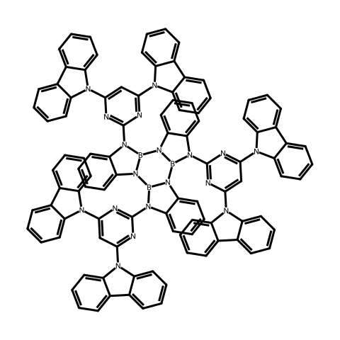 c1ccc2c(c1)N1B(N3B(N4B1N(c1nc(-n5c6ccccc6c6ccccc65)cc(-n5c6ccccc6c6ccccc65)n1)c1ccccc14)N(c1nc(-n4c5ccccc5c5ccccc54)cc(-n4c5ccccc5c5ccccc54)n1)c1ccccc13)N2c1nc(-n2c3ccccc3c3ccccc32)cc(-n2c3ccccc3c3ccccc32)n1